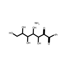 CCCC(=O)C(=O)C(O)C(O)C(O)C(O)CO.N